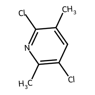 Cc1cc(Cl)c(C)nc1Cl